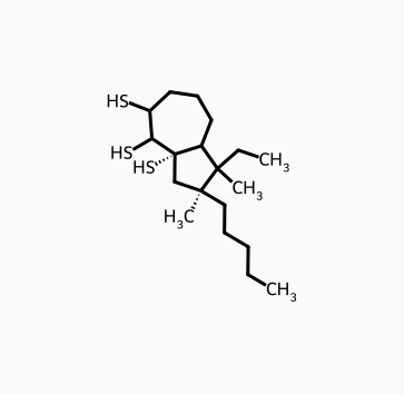 CCCCC[C@@]1(C)C[C@@]2(S)C(S)C(S)CCCC2C1(C)CC